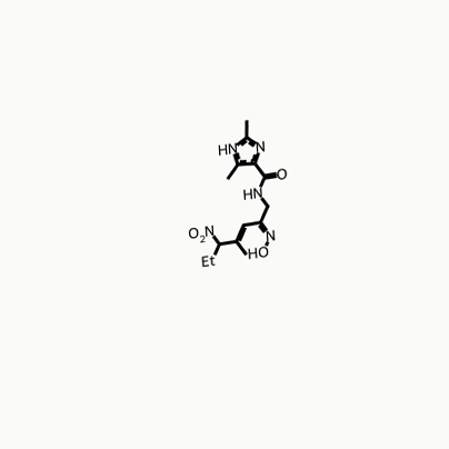 CCC(/C(C)=C/C(CNC(=O)c1nc(C)[nH]c1C)=N\O)[N+](=O)[O-]